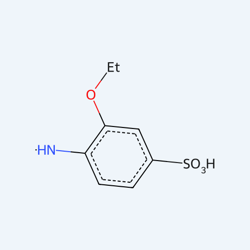 CCOc1cc(S(=O)(=O)O)ccc1[NH]